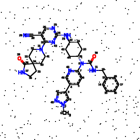 Cn1cc(-c2ccc(N(C(=O)NCc3ccccc3)[C@H]3CC[C@H](Nc4ncc(C#N)c(N5CCC6(CCNC6=O)CC5)n4)CC3)nc2)cn1